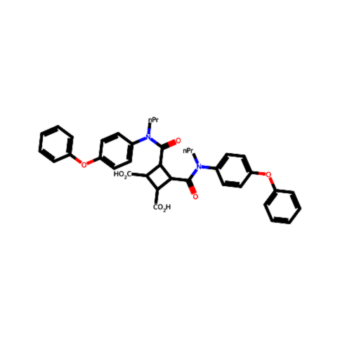 CCCN(C(=O)C1C(C(=O)O)C(C(=O)O)C1C(=O)N(CCC)c1ccc(Oc2ccccc2)cc1)c1ccc(Oc2ccccc2)cc1